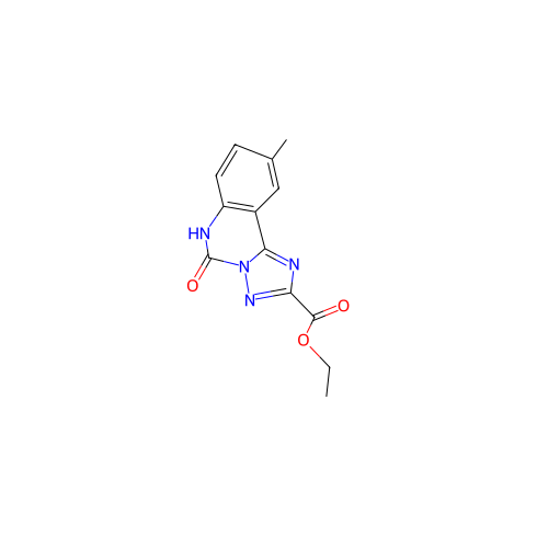 CCOC(=O)c1nc2c3cc(C)ccc3[nH]c(=O)n2n1